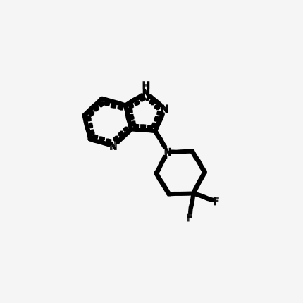 FC1(F)CCN(c2n[nH]c3cccnc23)CC1